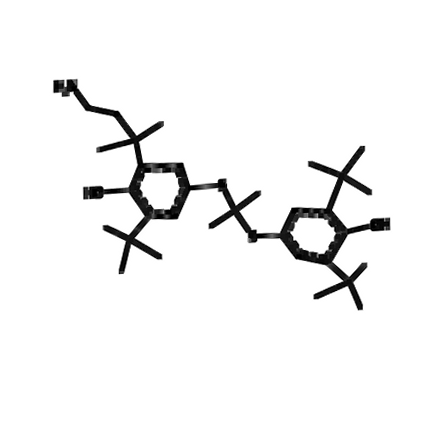 CC(C)(Sc1cc(C(C)(C)C)c(O)c(C(C)(C)C)c1)Sc1cc(C(C)(C)C)c(O)c(C(C)(C)CCN)c1